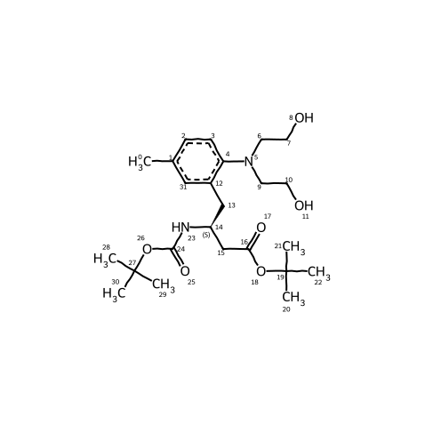 Cc1ccc(N(CCO)CCO)c(C[C@@H](CC(=O)OC(C)(C)C)NC(=O)OC(C)(C)C)c1